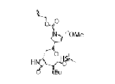 C=CCOC(=O)N1CC(C(=O)C[C@H]2NC(=O)[C@H]2[C@@H](CO[SiH](C)C)C(C)(C)C)C[C@H]1COC